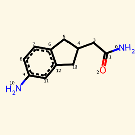 NC(=O)CC1Cc2ccc(N)cc2C1